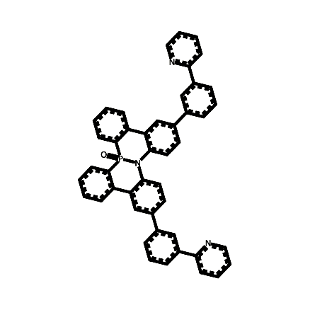 O=P12c3ccccc3-c3cc(-c4cccc(-c5ccccn5)c4)ccc3N1c1ccc(-c3cccc(-c4ccccn4)c3)cc1-c1ccccc12